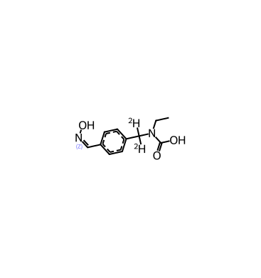 [2H]C([2H])(c1ccc(/C=N\O)cc1)N(CC)C(=O)O